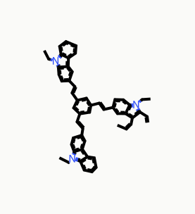 C=Cc1c(/C=C\C)c2cc(/C=C/c3cc(/C=C/c4ccc5c(c4)c4ccccc4n5CC)cc(/C=C/c4ccc5c(c4)c4ccccc4n5CC)c3)ccc2n1CC